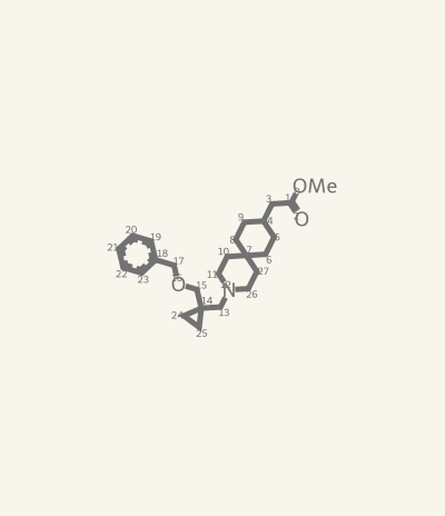 COC(=O)CC1CCC2(CC1)CCN(CC1(COCc3ccccc3)CC1)CC2